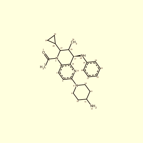 CC(=O)N1c2ccc(N3CCC(N)CC3)nc2[C@H](Nc2ccccc2)C(C)C1C1CC1